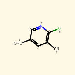 N#Cc1cc(C=O)cnc1Br